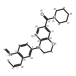 C=Nc1ccc(N2CCOc3cc(C(=O)N4CCCCC4)cnc32)cc1/C=C\C